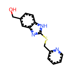 OCc1ccc2[nH]c(SCc3ccccn3)nc2c1